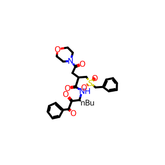 CCCC[C@H](NC(=O)C(CC(=O)N1CCOCC1)CS(=O)(=O)Cc1ccccc1)C(=O)C(=O)c1ccccc1